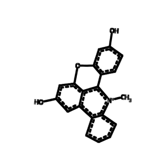 C[n+]1c2c3c(cc(O)cc3c3ccccc31)Oc1cc(O)ccc1-2